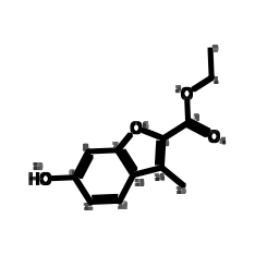 CCOC(=O)c1oc2cc(O)ccc2c1C